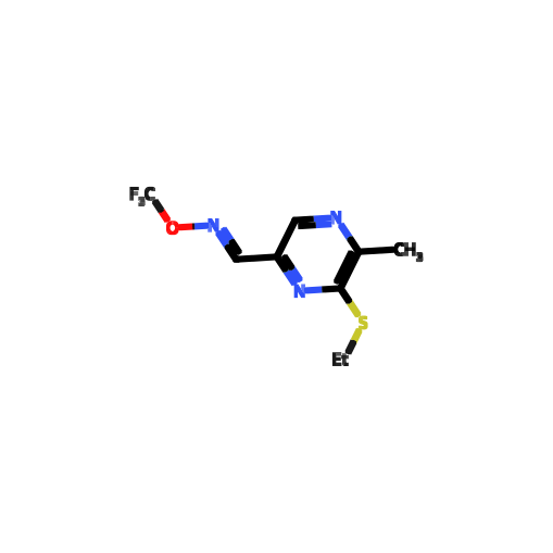 CCSc1nc(/C=N/OC(F)(F)F)cnc1C